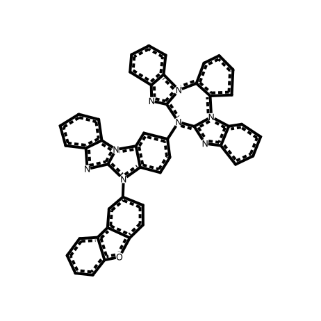 c1ccc2c(c1)nc1n(-c3ccc4oc5ccccc5c4c3)c3ccc(-n4c5nc6ccccc6n5c5ccccc5n5c6ccccc6nc45)cc3n21